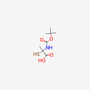 CC(C)(C)OC(=O)NC(C)(S)C(=O)O